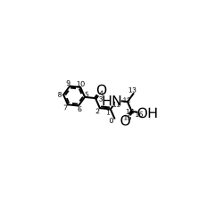 CC(=CC(=O)c1ccccc1)NC(C)C(=O)O